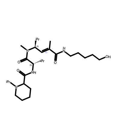 C/C(=C\[C@H](C(C)C)N(C)C(=O)[C@@H](NC(=O)C1CCCCN1C(C)C)C(C)C)C(=O)NCCCCCO